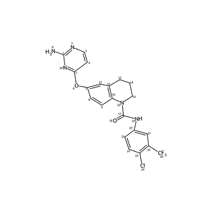 Nc1nccc(Oc2ccc3c(c2)CCCN3C(=O)Nc2ccc(Cl)c(C(F)(F)F)c2)n1